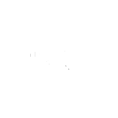 CCCSc1nc(C)cs1